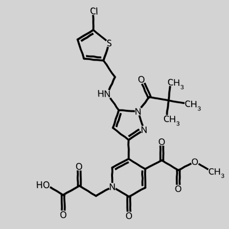 COC(=O)C(=O)c1cc(=O)n(CC(=O)C(=O)O)cc1-c1cc(NCc2ccc(Cl)s2)n(C(=O)C(C)(C)C)n1